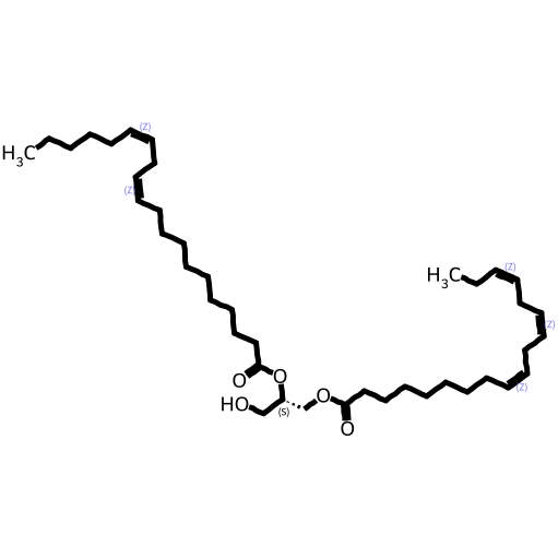 CC/C=C\C/C=C\C/C=C\CCCCCCCC(=O)OC[C@H](CO)OC(=O)CCCCCCCCC/C=C\C/C=C\CCCCC